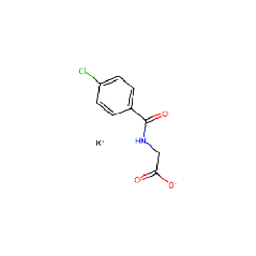 O=C([O-])CNC(=O)c1ccc(Cl)cc1.[K+]